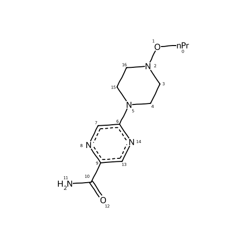 CCCON1CCN(c2cnc(C(N)=O)cn2)CC1